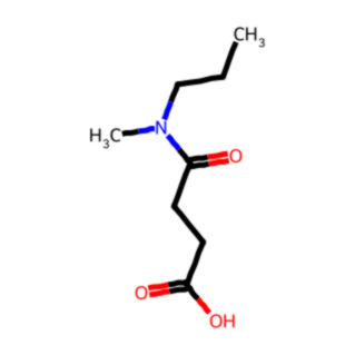 CCCN(C)C(=O)CCC(=O)O